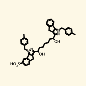 Cc1ccc(Cn2nc(C(O)CCCCCC(O)c3nn(Cc4ccc(C)cc4)c4c3Cc3ccc(S(=O)(=O)O)cc3-4)c3c2-c2ccccc2C3)cc1